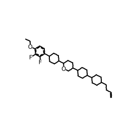 C=CCCC1CCC(C2CCC(C3CCC(C4CCC(c5ccc(OCC)c(F)c5F)CC4)OC3)CC2)CC1